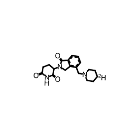 [2H]C1CCN(Cc2cccc3c2CN(C2CCC(=O)NC2=O)C3=O)CC1